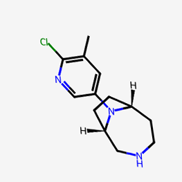 Cc1cc(N2[C@H]3CCNC[C@@H]2CC3)cnc1Cl